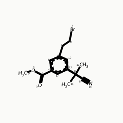 COC(=O)c1cc(CCBr)cc(C(C)(C)C#N)c1